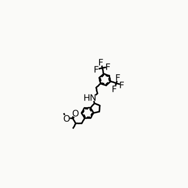 COC(=O)C(C)Cc1ccc2c(c1)CCC2NCCc1cc(C(F)(F)F)cc(C(F)(F)F)c1